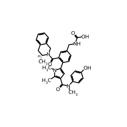 Cc1c(C(=O)N(C)c2ccc(O)cc2)cc(-c2ccc(CNC(=O)O)cc2C(=O)N2Cc3ccccc3C[C@H]2C)n1C